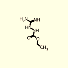 CCOC(=O)NNC(=N)N